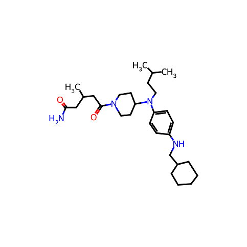 CC(C)CCN(c1ccc(NCC2CCCCC2)cc1)C1CCN(C(=O)CC(C)CC(N)=O)CC1